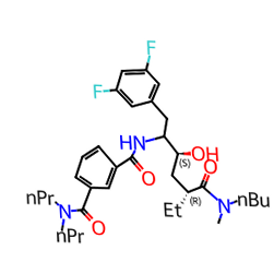 CCCCN(C)C(=O)[C@H](CC)C[C@H](O)C(Cc1cc(F)cc(F)c1)NC(=O)c1cccc(C(=O)N(CCC)CCC)c1